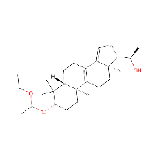 CCOC(C)O[C@H]1CC[C@]2(C)C3=C(CC[C@H]2C1(C)C)C1=CC[C@H]([C@@H](C)O)[C@@]1(C)CC3